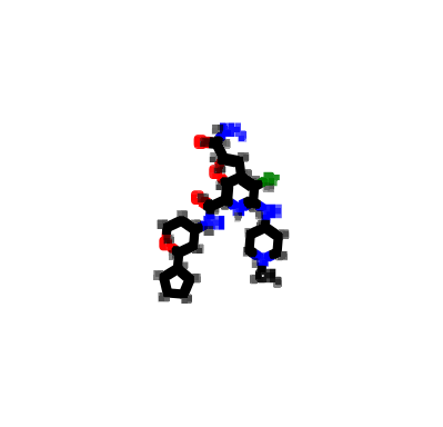 CN1CCC(Nc2nc(C(=O)NC3CCOC(C4CCCC4)C3)c3oc(C(N)=O)cc3c2Br)CC1